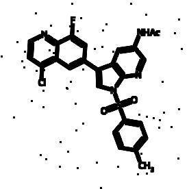 CC(=O)Nc1cnc2c(c1)c(-c1cc(F)c3nccc(Cl)c3c1)cn2S(=O)(=O)c1ccc(C)cc1